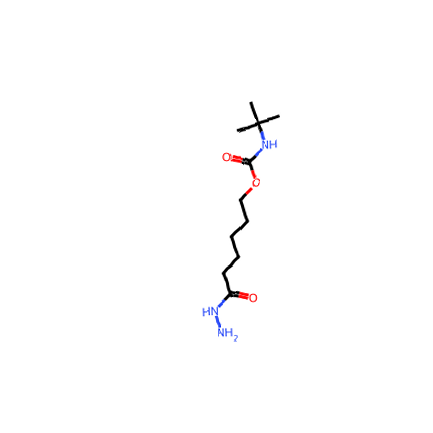 CC(C)(C)NC(=O)OCCCCCC(=O)NN